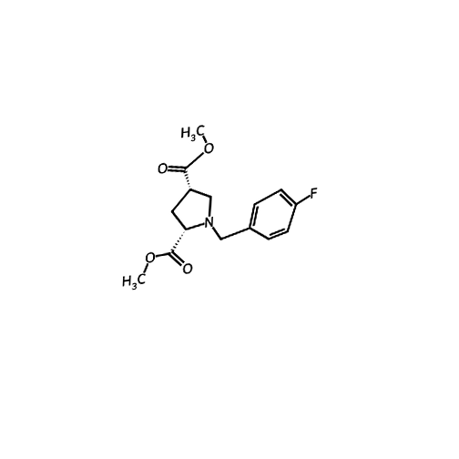 COC(=O)[C@H]1C[C@@H](C(=O)OC)N(Cc2ccc(F)cc2)C1